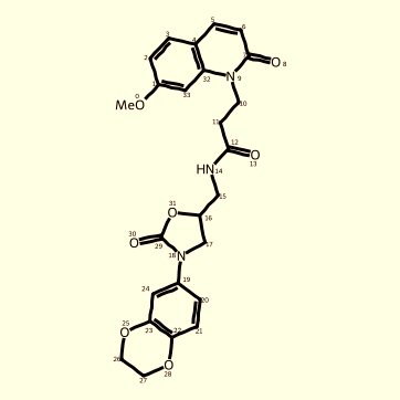 COc1ccc2ccc(=O)n(CCC(=O)NCC3CN(c4ccc5c(c4)OCCO5)C(=O)O3)c2c1